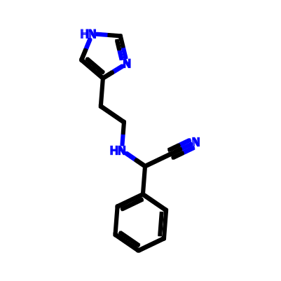 N#CC(NCCc1c[nH]cn1)c1ccccc1